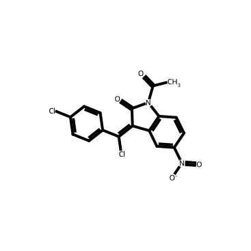 CC(=O)N1C(=O)C(=C(Cl)c2ccc(Cl)cc2)c2cc([N+](=O)[O-])ccc21